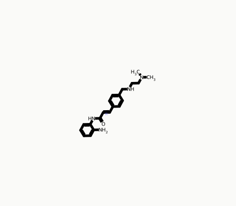 CN(C)CCNCc1ccc(/C=C/C(=O)Nc2ccccc2N)cc1